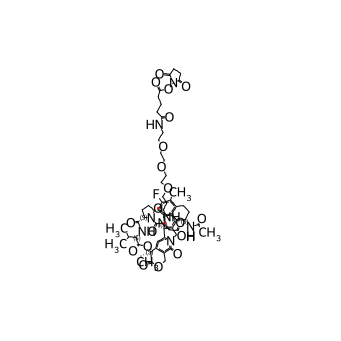 CC[C@@]1(OC(=O)[C@@H](NC(=O)[C@@H]2CCCN2C(=O)[C@H](CC(=O)O)NC(=O)CCOCCOCCOCCNC(=O)CCCC(=O)ON2C(=O)CCC2=O)C(C)C)C(=O)OCc2c1cc1n(c2=O)Cc2c-1nc1cc(F)c(C)c3c1c2[C@@H](NC(C)=O)CC3